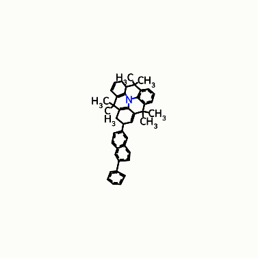 CC1(C)C2=C3C(CC=C2)C(C)(C)c2cccc4c2N3C2=C1CC(c1ccc3cc(-c5ccccc5)ccc3c1)C=C2C4(C)C